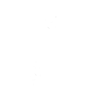 Oc1ccc(-c2ccc(C3CCC(CCC4CCC(c5ccc(O)c(F)c5F)CC4)CC3)c(F)c2F)c(F)c1F